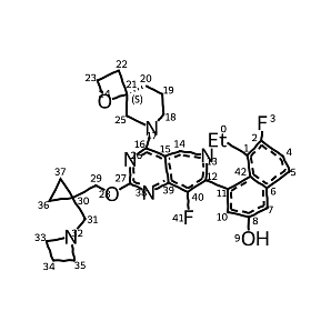 CCc1c(F)ccc2cc(O)cc(-c3ncc4c(N5CCC[C@]6(CCO6)C5)nc(OCC5(CN6CCC6)CC5)nc4c3F)c12